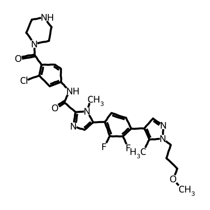 COCCCn1ncc(-c2ccc(-c3cnc(C(=O)Nc4ccc(C(=O)N5CCNCC5)c(Cl)c4)n3C)c(F)c2F)c1C